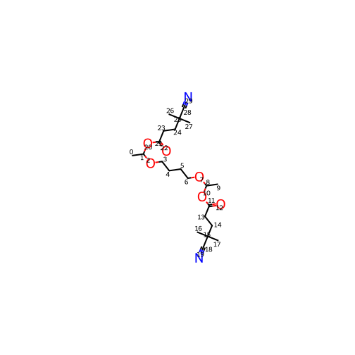 CC(OCCCCOC(C)OC(=O)CCC(C)(C)C#N)OC(=O)CCC(C)(C)C#N